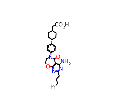 CC(C)CCCc1nc(N)c2c(n1)OCCN(c1ccc([C@H]3CC[C@H](CC(=O)O)CC3)cc1)C2=O